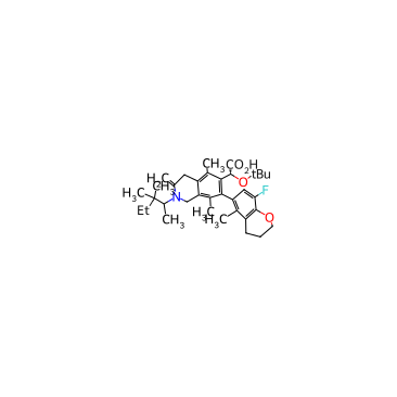 C=C1Cc2c(C)c([C@H](OC(C)(C)C)C(=O)O)c(-c3cc(F)c4c(c3C)CCCO4)c(C)c2CN1C(C)C(C)(C)CC